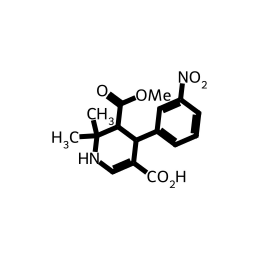 COC(=O)C1C(c2cccc([N+](=O)[O-])c2)C(C(=O)O)=CNC1(C)C